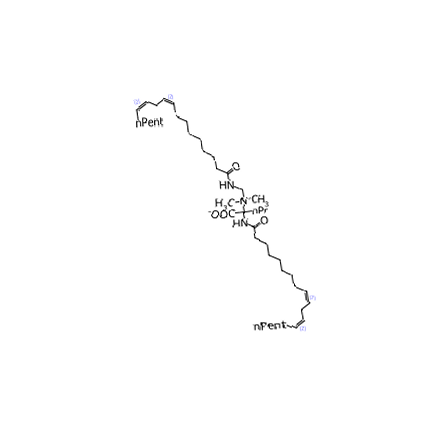 CCCCC/C=C\C/C=C\CCCCCCCC(=O)NC[N+](C)(C)C(CCC)(NC(=O)CCCCCCC/C=C\C/C=C\CCCCC)C(=O)[O-]